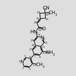 Cc1ccncc1-c1cc(N)c2cnc(NC(=O)C=C3CC(C)(C#N)C3)cc2c1